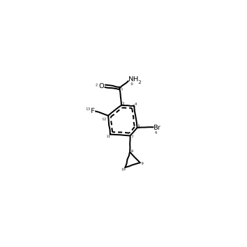 NC(=O)c1cc(Br)c(C2CC2)cc1F